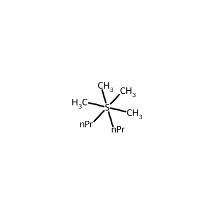 CCCS(C)(C)(C)(C)CCC